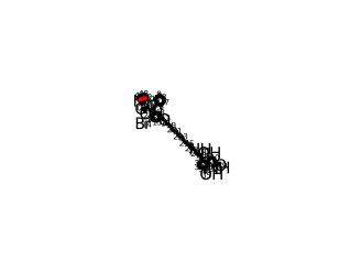 O=C(O)N(C(c1ccccc1)c1cc(Br)cc(OCCCCCCCCCNC[C@H](O)c2ccc(O)c3[nH]c(=O)ccc23)c1)[C@H]1CN2CCC1CC2